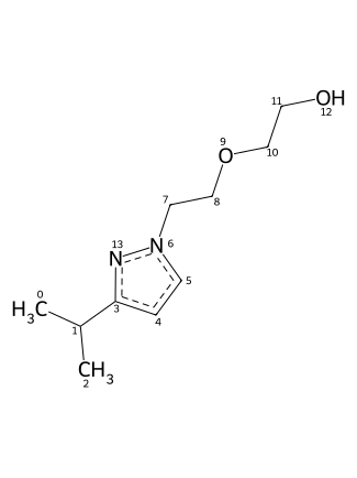 CC(C)c1ccn(CCOCCO)n1